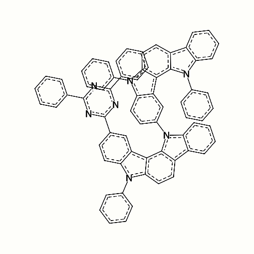 c1ccc(-c2nc(-c3ccccc3)nc(-c3ccc4c(c3)c3c(ccc5c6ccccc6n(-c6ccc7c(c6)c6c(ccc8c9ccccc9n(-c9ccccc9)c86)n7-c6ccccc6)c53)n4-c3ccccc3)n2)cc1